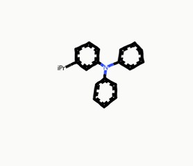 CC(C)c1cccc(N(c2ccccc2)c2ccccc2)c1